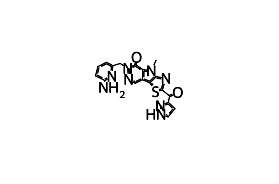 Cn1c2nc(C(=O)c3cc[nH]n3)sc2c2cnn(Cc3cccc(N)n3)c(=O)c21